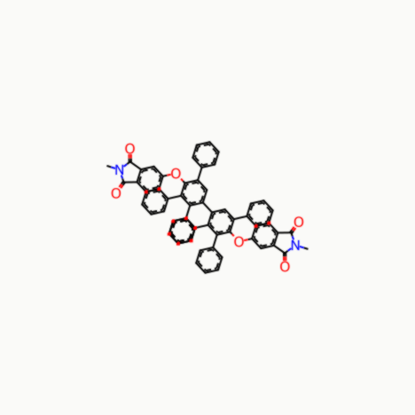 CN1C(=O)c2ccc(Oc3c(-c4ccccc4)cc(-c4cc(-c5ccccc5)c(Oc5ccc6c(c5)C(=O)N(C)C6=O)c(-c5ccccc5)c4-c4ccccc4)c(-c4ccccc4)c3-c3ccccc3)cc2C1=O